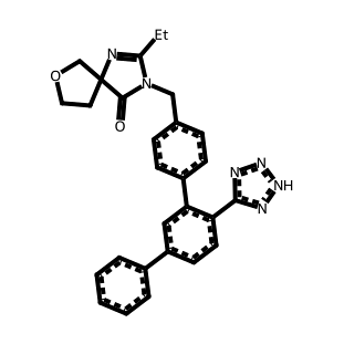 CCC1=NC2(CCOC2)C(=O)N1Cc1ccc(-c2cc(-c3ccccc3)ccc2-c2nn[nH]n2)cc1